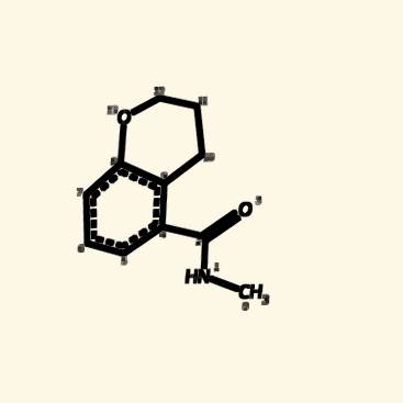 CNC(=O)c1cccc2c1CCCO2